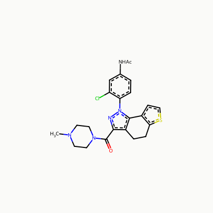 CC(=O)Nc1ccc(-n2nc(C(=O)N3CCN(C)CC3)c3c2-c2ccsc2CC3)c(Cl)c1